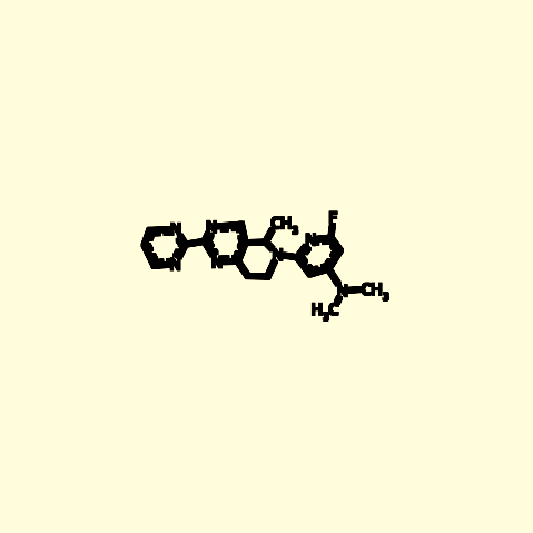 CC1c2cnc(-c3ncccn3)nc2CCN1c1cc(N(C)C)cc(F)n1